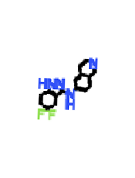 FC1(F)CCc2[nH]nc(Nc3ccc4cnccc4c3)c2C1